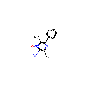 Cc1c(-c2ccccc2)nc(C#N)c(N)[n+]1[O-]